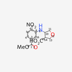 COC(=O)c1ccc([N+](=O)[O-])c(NC2COCC2C(=O)O)c1